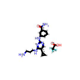 NCCCNc1nc(Nc2cccc(C(N)=O)c2)ncc1C1CC1.O=C(O)C(F)(F)F